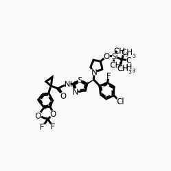 CC(C)(C)[Si](C)(C)OC1CCN([C@H](c2cnc(NC(=O)C3(c4ccc5c(c4)OC(F)(F)O5)CC3)s2)c2ccc(Cl)cc2F)C1